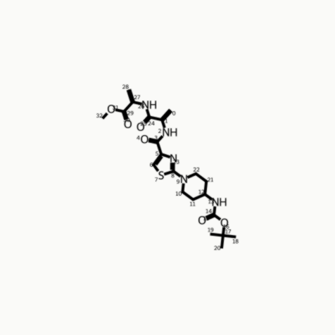 C=C(NC(=O)c1csc(N2CCC(NC(=O)OC(C)(C)C)CC2)n1)C(=O)NC(=C)C(=O)OC